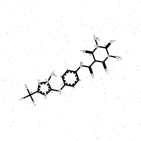 CN1C(=O)C(C(=O)Nc2ccc(Oc3nc(C(F)(F)F)nn3C)cc2)C(=O)N(C)C1=O